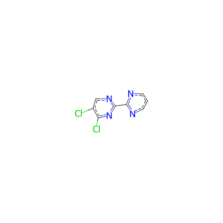 Clc1cnc(-c2ncccn2)nc1Cl